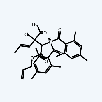 C=CCOC(=O)C(C(Cl)(C=CC)C(=O)O)P(=O)(C(=O)c1c(C)cc(C)cc1C)C(=O)c1c(C)cc(C)cc1C